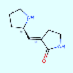 O=C1NCC/C1=C\[C@H]1CCCN1